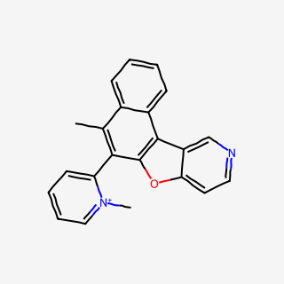 Cc1c(-c2cccc[n+]2C)c2oc3ccncc3c2c2ccccc12